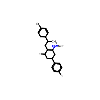 CCCNC1CC(c2ccc(CC)cc2)CC(CC)C1CC(C)C1C=CC(CC)=CC1